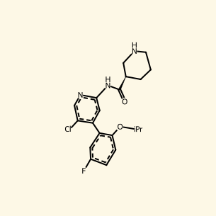 CC(C)Oc1ccc(F)cc1-c1cc(NC(=O)[C@@H]2CCCNC2)ncc1Cl